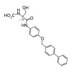 C[C@@](CO)(NC(=O)O)C(=O)Nc1ccc(OCc2ccc(-c3ccccc3)cc2)cc1